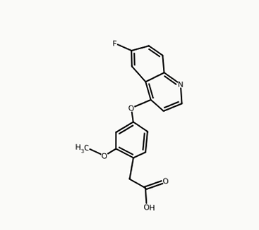 COc1cc(Oc2ccnc3ccc(F)cc23)ccc1CC(=O)O